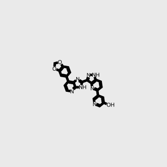 Oc1cncc(-c2ccc3[nH]nc(-c4nc5c(-c6ccc7c(c6)OCO7)ccnc5[nH]4)c3n2)c1